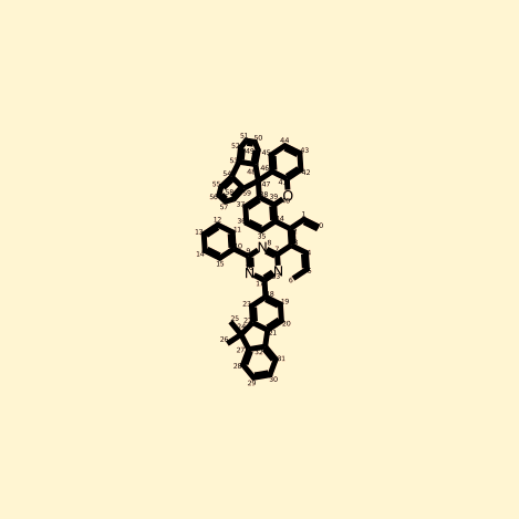 C=C/C(=C(\C=C/C)c1nc(-c2ccccc2)nc(-c2ccc3c(c2)C(C)(C)c2ccccc2-3)n1)c1cccc2c1Oc1ccccc1C21c2ccccc2-c2ccccc21